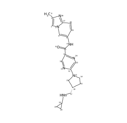 Cc1cn2cc(NC(=O)c3cnc(N4CC[C@H](CNC5CC5)C4)cn3)ccc2n1